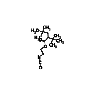 CC(C)(C)CC(C(=O)OCCN=C=O)C(C)(C)C